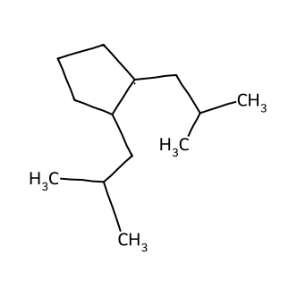 CC(C)C[C]1CCCC1CC(C)C